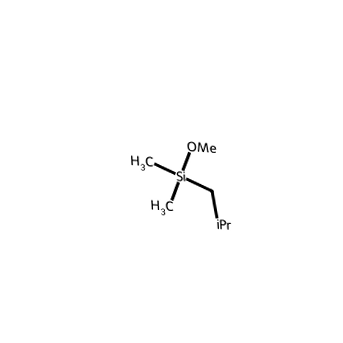 CO[Si](C)(C)CC(C)C